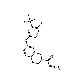 C=CC(=O)N1CCc2ccc(Oc3ccc(F)c(C(F)(F)F)c3)cc2C1